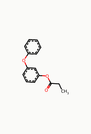 CCC(=O)Oc1cccc(Oc2ccccc2)c1